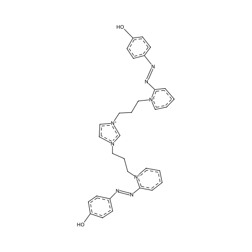 Oc1ccc(/N=N/c2cccc[n+]2CCCn2cc[n+](CCC[n+]3ccccc3/N=N/c3ccc(O)cc3)c2)cc1